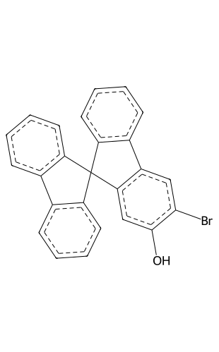 Oc1cc2c(cc1Br)-c1ccccc1C21c2ccccc2-c2ccccc21